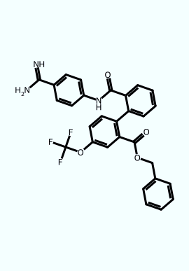 N=C(N)c1ccc(NC(=O)c2ccccc2-c2ccc(OC(F)(F)F)cc2C(=O)OCc2ccccc2)cc1